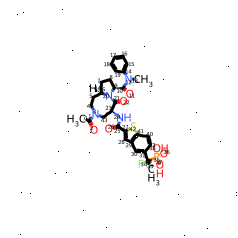 CC(=O)N1CC[C@H]2CC[C@@H](C(=O)N(C)c3ccccc3)N2C(=O)[C@@H](NC(=O)c2cc3cc(C(C)(F)P(=O)(O)O)ccc3s2)C1